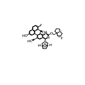 C#Cc1cc2c(N3C[C@H]4CC[C@@H](C3)N4)nc(OC[C@@]34CCCN3C[C@H](F)C4)nc2c(F)c1-c1cc(O)cc2ccc(F)c(C#C)c12